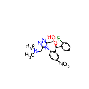 CN(C)Cc1nnc(CO)n1-c1ccc([N+](=O)[O-])cc1C(=O)c1ccccc1F